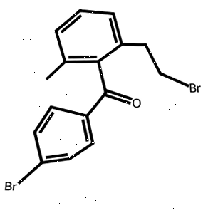 Cc1cccc(CCBr)c1C(=O)c1ccc(Br)cc1